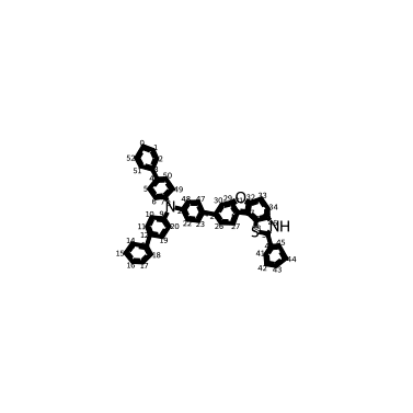 c1ccc(-c2ccc(N(c3ccc(-c4ccccc4)cc3)c3ccc(-c4ccc5c(c4)oc4ccc6c(c45)SC(c4ccccc4)N6)cc3)cc2)cc1